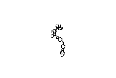 CC(=O)N(C)c1cnn(C(=O)N2CC3(CCN(Cc4ccc(N5CCOCC5)cc4)CC3)C2)c1